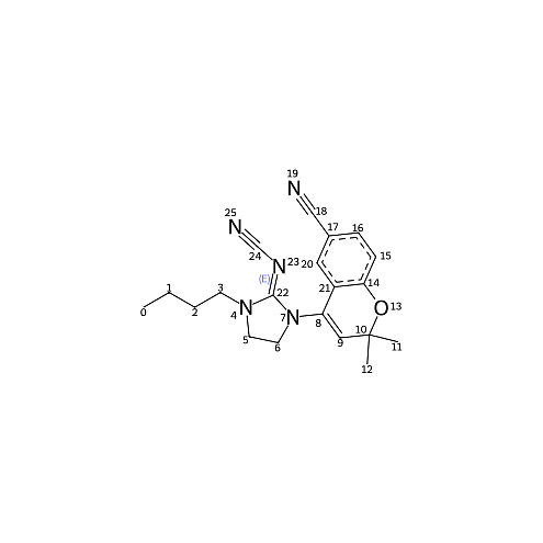 CCCCN1CCN(C2=CC(C)(C)Oc3ccc(C#N)cc32)/C1=N/C#N